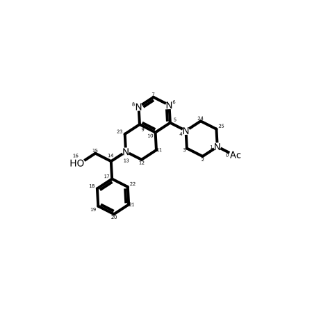 CC(=O)N1CCN(c2ncnc3c2CCN(C(CO)c2ccccc2)C3)CC1